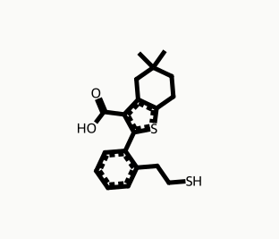 CC1(C)CCc2sc(-c3ccccc3CCS)c(C(=O)O)c2C1